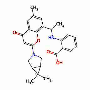 Cc1cc(C(C)Nc2ccccc2C(=O)O)c2oc(N3CC4C(C3)C4(C)C)cc(=O)c2c1